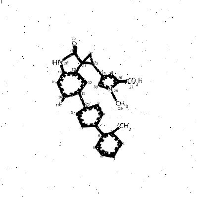 Cc1ccccc1-c1ccc(-c2cc3c(cc2F)NC(=O)C32CC2c2cc(C(=O)O)n(C)c2)cc1